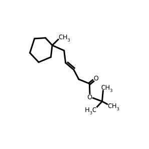 CC1(C/C=C/CC(=O)OC(C)(C)C)CCCCC1